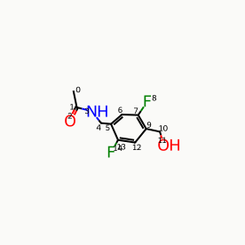 CC(=O)NCc1cc(F)c(CO)cc1F